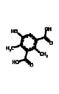 Cc1c(O)cc(C(=O)O)c(C)c1C(=O)O